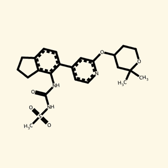 CC1(C)CC(Oc2cc(-c3ccc4c(c3NC(=O)NS(C)(=O)=O)CCC4)ccn2)CCO1